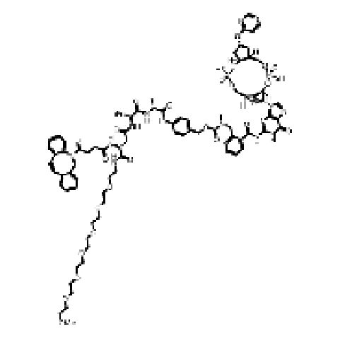 COCCOCCOCCOCCOCCOCCOCCNC(=O)[C@H](CC(=O)N[C@H](C(=O)N[C@@H](C)C(=O)Nc1ccc(COC(=O)N(C)Cc2ccccc2C(=O)Nc2nc3c(ncn3[C@@H]3O[C@H]4CO[P@@](=O)(S)O[C@H]5C[C@H](Oc6ccncn6)C[C@@H]5CO[P@@](=O)(S)O[C@@H]3[C@@H]4O)c(=O)[nH]2)cc1)C(C)C)NC(=O)CCC(=O)N1Cc2ccccc2C#Cc2ccccc21